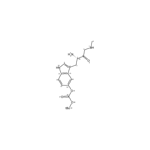 CBCC(=O)[C@@H](N)Cc1c[nH]c2ccc(OC(=O)OC(C)(C)C)cc12